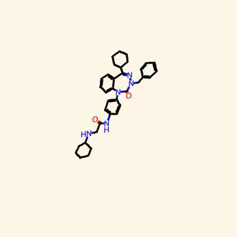 O=C(CNC1CCCCC1)Nc1ccc(N2C(=O)N(Cc3ccccc3)N=C(C3CCCCC3)c3ccccc32)cc1